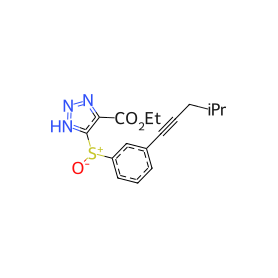 CCOC(=O)c1nn[nH]c1[S+]([O-])c1cccc(C#CCC(C)C)c1